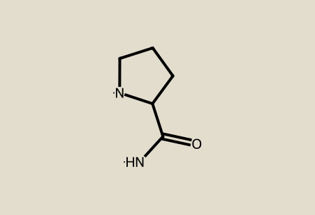 [NH]C(=O)C1CCC[N]1